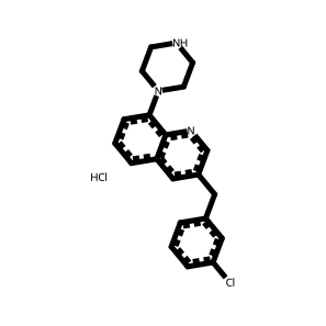 Cl.Clc1cccc(Cc2cnc3c(N4CCNCC4)cccc3c2)c1